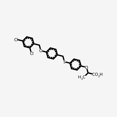 CC(Oc1ccc(SCc2ccc(OCc3ccc(Cl)cc3Cl)cc2)cc1)C(=O)O